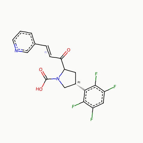 O=C(/C=C/c1cccnc1)C1C[C@H](c2c(F)c(F)cc(F)c2F)CN1C(=O)O